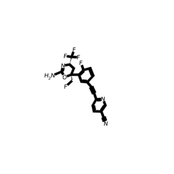 N#Cc1ccc(C#Cc2ccc(F)c([C@]3(CF)C[C@@H](C(F)(F)F)N=C(N)O3)c2)nc1